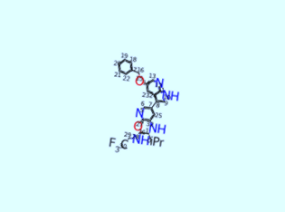 CC(C)[C@H](Nc1cncc(-c2c[nH]c3ncc(OCc4ccccc4)cc23)c1)C(=O)NCC(F)(F)F